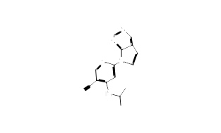 C#Cc1cnc(-n2ccc3cncnc32)cc1NC(C)C